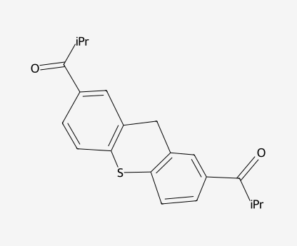 CC(C)C(=O)c1ccc2c(c1)Cc1cc(C(=O)C(C)C)ccc1S2